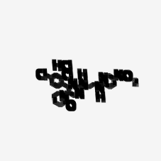 Cl.O=C1CC=CCN1c1cnc(NCCNc2ccc([N+](=O)[O-])cn2)nc1-c1ccc(Cl)cc1Cl